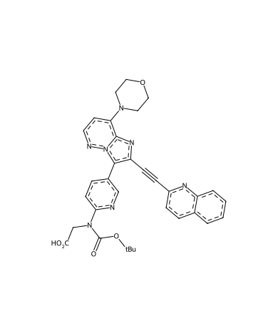 CC(C)(C)OC(=O)N(CC(=O)O)c1ccc(-c2c(C#Cc3ccc4ccccc4n3)nc3c(N4CCOCC4)ccnn23)cn1